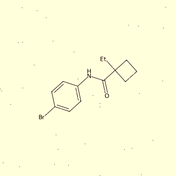 CCC1(C(=O)Nc2ccc(Br)cc2)CCC1